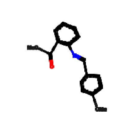 COC(=O)c1ccccc1N=Cc1ccc(OC)cc1